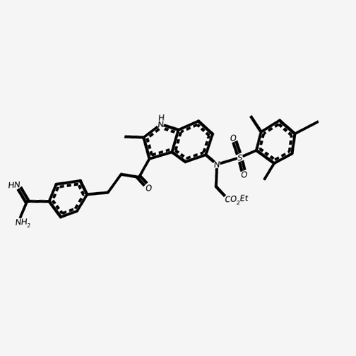 CCOC(=O)CN(c1ccc2[nH]c(C)c(C(=O)CCc3ccc(C(=N)N)cc3)c2c1)S(=O)(=O)c1c(C)cc(C)cc1C